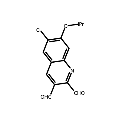 CC(C)Oc1cc2nc(C=O)c(C=O)cc2cc1Cl